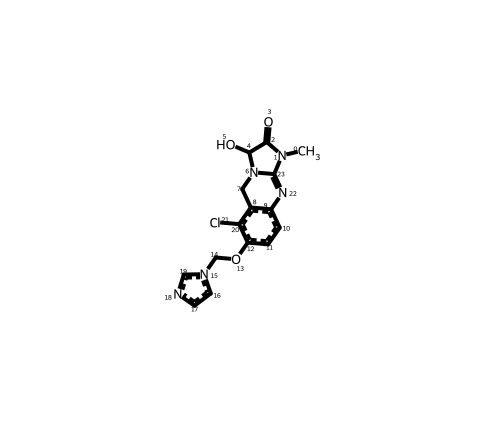 CN1C(=O)C(O)N2Cc3c(ccc(OCn4ccnc4)c3Cl)N=C12